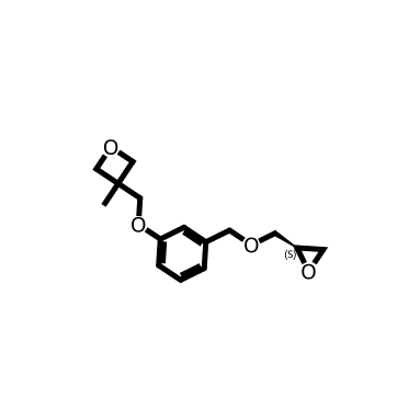 CC1(COc2cccc(COC[C@H]3CO3)c2)COC1